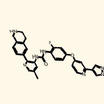 Cc1cnc(-c2ccc3c(c2)CCNC3)c(NC(=O)Nc2ccc(Oc3ccnc(-c4cnn(C)c4)c3)cc2F)c1